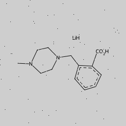 CN1CCN(Cc2ccccc2C(=O)O)CC1.[LiH]